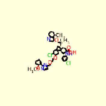 COc1ccccc1-c1nccc(COCCOc2cc3c(cc2Cl)C[C@H](C[C@@H](C)COc2ccnc4c2[C@H](C)CCC4)C32CCC(Nc3cccc(Cl)c3)(C(=O)O)CC2)n1